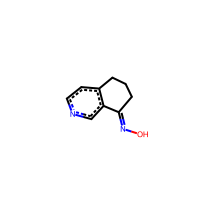 ON=C1CCCc2ccncc21